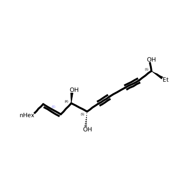 CCCCCC/C=C/[C@@H](O)[C@@H](O)C#CC#C[C@@H](O)CC